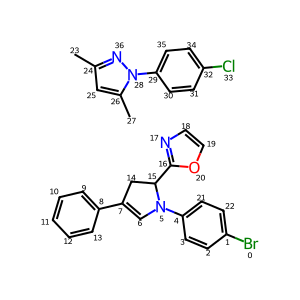 Brc1ccc(N2C=C(c3ccccc3)CC2c2ncco2)cc1.Cc1cc(C)n(-c2ccc(Cl)cc2)n1